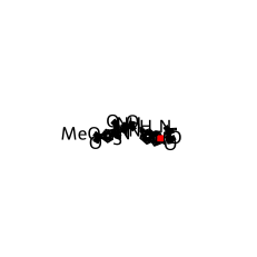 COC(=O)C1Cc2sc3nc(C(=O)NCc4ccc5c(c4)CN(C4=C(N)COC4=O)CC5)[nH]c(=O)c3c2C1